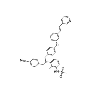 Cc1c(NS(C)(=O)=O)cccc1N(Cc1ccc(C#N)cc1)Cc1ccc(Oc2cccc(C=Cc3cccnc3)c2)cc1